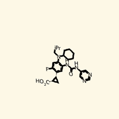 CC(C)CN(c1cc(F)c([C@@H]2C[C@@H]2C(=O)O)cc1NC(=O)Nc1cncnc1)C1CCCCC1